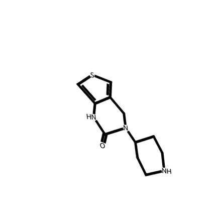 O=C1Nc2cscc2CN1C1CCNCC1